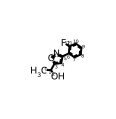 CC(O)c1cc(-c2ccccc2F)no1